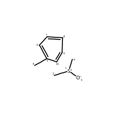 C[S+](C)[O-].Cc1ccccc1